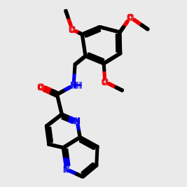 COc1cc(OC)c(CNC(=O)c2ccc3ncccc3n2)c(OC)c1